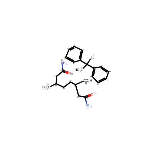 CCC(C(=O)O)(c1ccccc1)c1ccccc1.NC(=O)CC(CCC(CC(N)=O)C(=O)O)C(=O)O